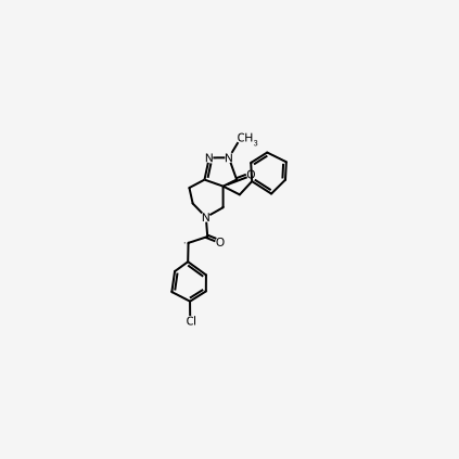 CN1N=C2CCN(C(=O)[CH]c3ccc(Cl)cc3)CC2(Cc2ccccc2)C1=O